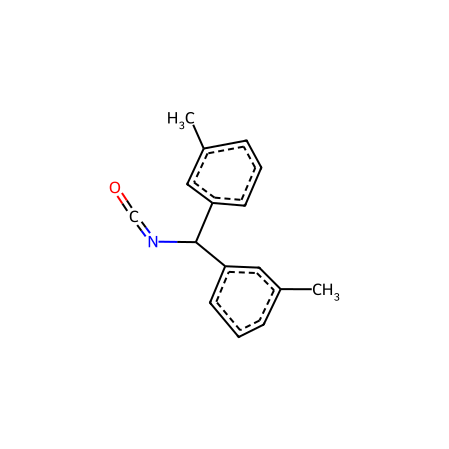 Cc1cccc(C(N=C=O)c2cccc(C)c2)c1